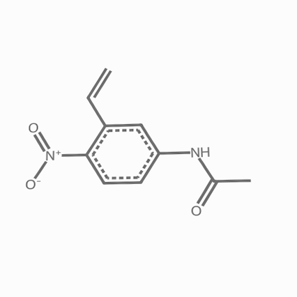 C=Cc1cc(NC(C)=O)ccc1[N+](=O)[O-]